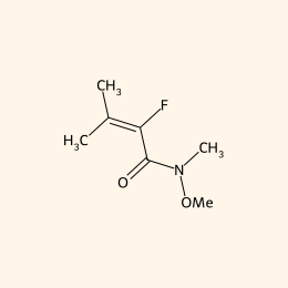 CON(C)C(=O)C(F)=C(C)C